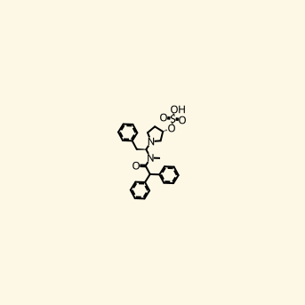 CN(C(=O)C(c1ccccc1)c1ccccc1)[C@@H](Cc1ccccc1)N1CC[C@H](OS(=O)(=O)O)C1